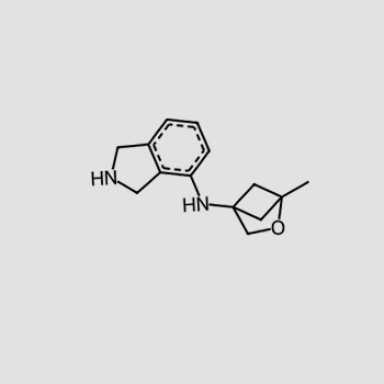 CC12CC(Nc3cccc4c3CNC4)(CO1)C2